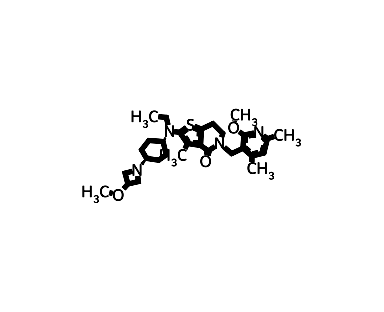 CCN(c1sc2c(c1C)C(=O)N(Cc1c(C)cc(C)nc1OC)CC2)[C@H]1CC[C@H](N2CC(OC)C2)CC1